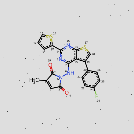 CC1=CC(=O)N(Nc2nc(-c3cccs3)nc3scc(-c4ccc(F)cc4)c23)C1=O